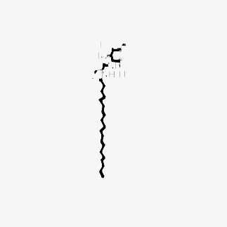 CCC=CCC=CCC=CCC=CCC=CCC=CCCC(=O)N[C@@H](CC(C)C)C(=O)N[C@@H]1[C@@H](O)[C@H](O)[C@@H](CO)O[C@H]1O